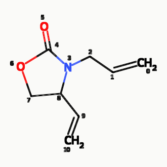 C=CCN1C(=O)OCC1C=C